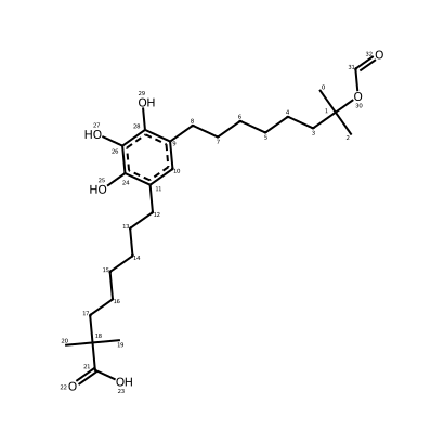 CC(C)(CCCCCCc1cc(CCCCCCC(C)(C)C(=O)O)c(O)c(O)c1O)OC=O